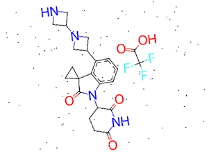 O=C(O)C(F)(F)F.O=C1CCC(N2C(=O)C3(CC3)c3c(C4CN(C5CNC5)C4)cccc32)C(=O)N1